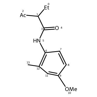 CCC(C(C)=O)C(=O)Nc1ccc(OC)cc1C